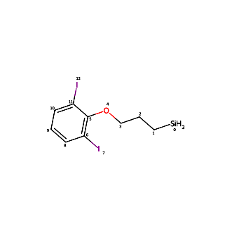 [SiH3]CCCOc1c(I)cccc1I